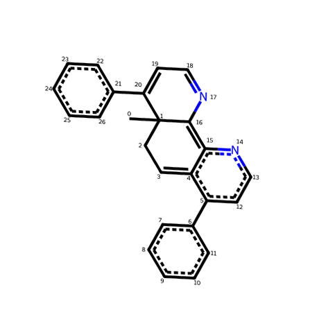 CC12CC=c3c(-c4ccccc4)ccnc3=C1N=CC=C2c1ccccc1